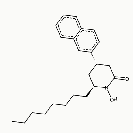 CCCCCCCC[C@H]1C[C@H](c2ccc3ccccc3c2)CC(=O)N1O